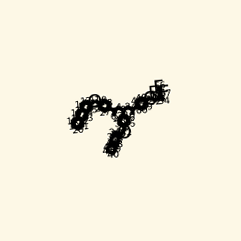 CC(CC(CC(C)c1ccc(Oc2ccc3cc4ccccc4cc3c2)cc1)c1ccc(OC2CC3CC2C2C4CCC(C4)C32)cc1)c1ccc(OCC(C)C(F)(F)F)cc1